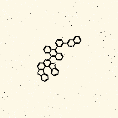 c1cc(-c2ccc3ccccc3c2)cc(-c2c3ccccc3c(-c3cc4ccc5sc6ccccc6c5c4c4c3sc3ccccc34)c3ccccc23)c1